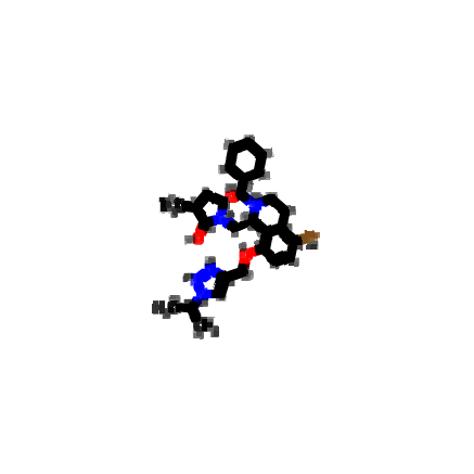 CC1CCN(C[C@@H]2c3c(OCc4cn(C(C)C)nn4)ccc(Br)c3CCN2C(=O)C2CCCCC2)C1=O